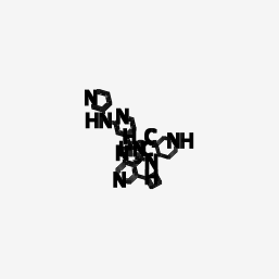 CC1(C)CNCC[C@@H]1Nc1nc(-c2ccnc(Nc3cccnc3)c2)nc2cncc(C3=CC=C3)c12